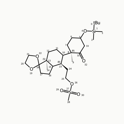 CC(C)(C)[Si](C)(C)OC1CC[C@](C)(C2CC[C@@]3(C)C(CCC34OCCO4)[C@@H]2CCOS(C)(=O)=O)C(=O)C1